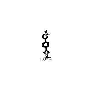 O=C(O)N1CC(c2ccc(C3CCS(=O)(=O)C3)cc2)C1